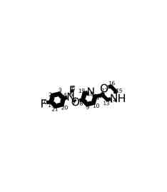 Fc1ccc(N(F)Oc2ccc(C3CNCCO3)nc2)cc1